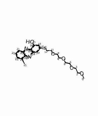 COCCOCCOCCOCCSc1cc(O)c2nc3cccc(C)c3nc2c1